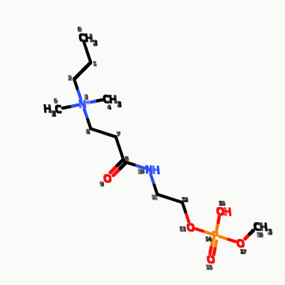 CCC[N+](C)(C)CCC(=O)NCCOP(=O)(O)OC